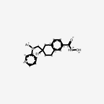 CCC1(CN(C(C)=O)c2cccnc2)CCc2cc(C(=O)NO)ccc2C1